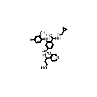 Cc1cc(I)ccc1Nc1cc(S(=O)(=O)NC(CCO)c2ccncc2)ccc1C(=O)NOCC1CC1